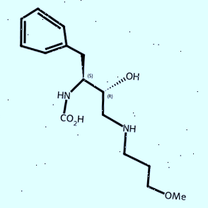 COCCCNC[C@@H](O)[C@H](Cc1ccccc1)NC(=O)O